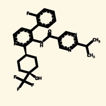 CC(C)c1ncc(C(=O)Nc2c(-c3ccccc3F)ccnc2[C@H]2CC[C@](O)(C(F)(F)F)CC2)cn1